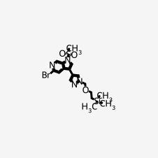 C[Si](C)(C)CCOCn1cc(-c2cn(S(C)(=O)=O)c3cnc(Br)cc23)cn1